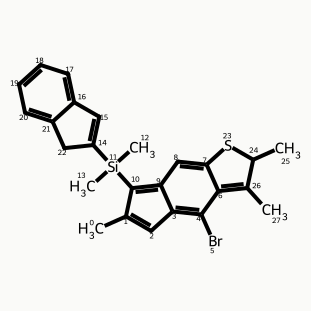 CC1=Cc2c(Br)c3c(cc2=C1[Si](C)(C)C1=Cc2ccccc2C1)SC(C)C=3C